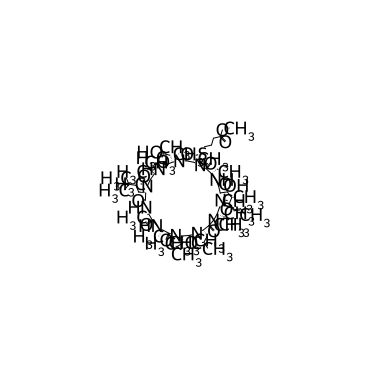 C/C=C/C[C@@H](C)[C@@H](O)[C@H]1C(=O)N[C@@H](CC)C(=O)N(C)[C@@H](CSCCCC(=O)OC)C(=O)N(C)[C@@H](CC(C)(C)O)C(=O)N[C@H](C(C)C)C(=O)N(C)[C@H](CCC(C)C)C(=O)N[C@H](C)C(=O)N[C@@H](C)C(=O)N(C)[C@@H](CC(C)C)C(=O)N(C)[C@@H](CC(C)C)C(=O)N(C)[C@@H](C(C)C)C(=O)N1C